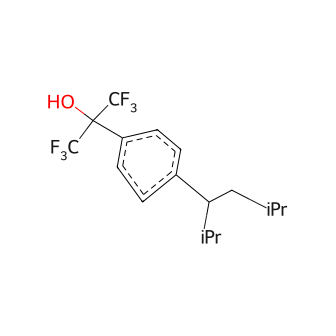 CC(C)CC(c1ccc(C(O)(C(F)(F)F)C(F)(F)F)cc1)C(C)C